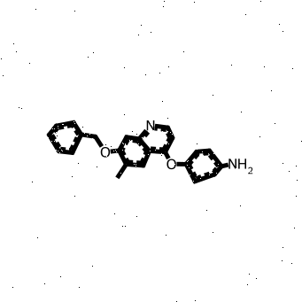 Cc1cc2c(Oc3ccc(N)cc3)ccnc2cc1OCc1ccccc1